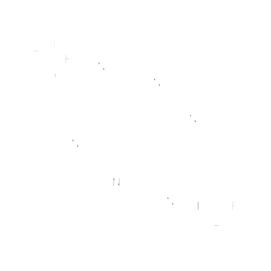 N#CC(C#N)=C1C(c2ccc(CC(F)(F)F)cc2)=C(C#N)c2cc3c(cc21)C(C#N)=C(c1ccc(OC(F)(F)F)cc1)C3=C(C#N)C#N